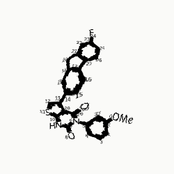 COc1cccc(-n2c(=O)[nH]c3scc(-c4ccc5c(c4)Cc4cc(F)ccc4-5)c3c2=O)c1